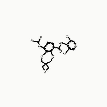 O=C(Nc1c(Cl)cncc1Cl)c1ccc(OC(F)F)c2c1OCC1(CO2)CSC1